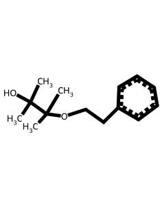 CC(C)(O)C(C)(C)OCCc1ccccc1